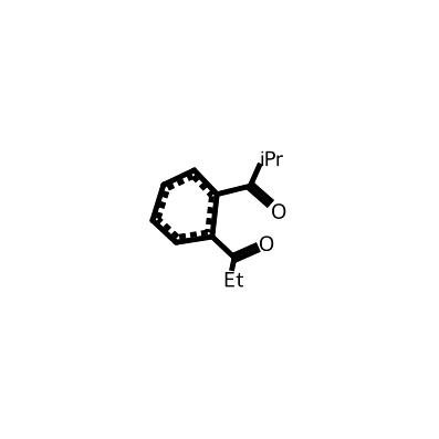 CCC(=O)c1ccccc1C(=O)C(C)C